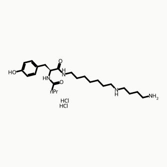 CCCC(=O)N[C@@H](Cc1ccc(O)cc1)C(=O)NCCCCCCCNCCCCN.Cl.Cl